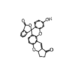 O=C1CCC2Oc3ccc4c(c3C=C12)Oc1cc(O)ccc1C41OC(=O)c2ccccc21